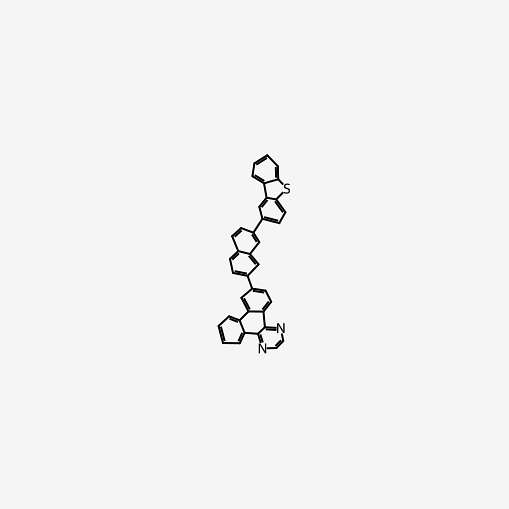 c1ccc2c(c1)sc1ccc(-c3ccc4ccc(-c5ccc6c(c5)c5ccccc5c5nccnc65)cc4c3)cc12